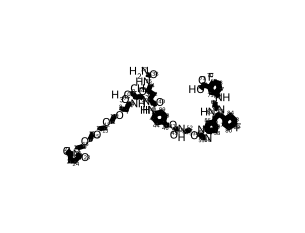 CC(C)C(NC(=O)CCOCCOCCOCCOCCN1C(=O)C=CC1=O)C(=O)NC(CCCNC(N)=O)C(=O)Nc1ccc(COC(=O)NCCOc2cnc3ccc(-c4[nH]c(CNc5ccc(F)c(C(=O)O)c5)nc4-c4ccc(F)cc4)cc3n2)cc1